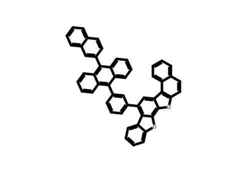 c1cc(-c2c3ccccc3c(-c3ccc4ccccc4c3)c3ccccc23)cc(-c2cc3c(oc4ccc5ccccc5c43)c3oc4ccccc4c23)c1